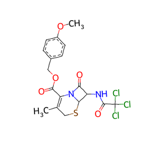 COc1ccc(COC(=O)C2=C(C)CSC3C(NC(=O)C(Cl)(Cl)Cl)C(=O)N23)cc1